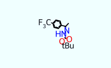 C/C(=N/NC(=O)OC(C)(C)C)c1ccc(C(F)(F)F)cc1